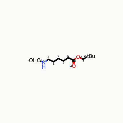 CC(C)(C)COC(=O)CCCCCN[C]=O